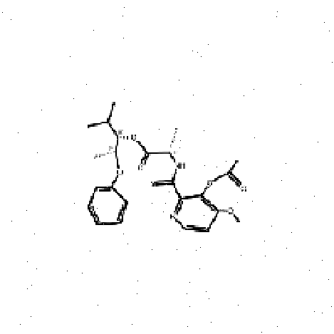 COc1ccnc(C(=S)N[C@@H](C)C(=O)O[C@@H](C(C)C)[C@@H](C)Oc2ccccc2)c1OC(C)=O